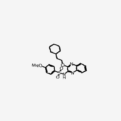 COc1ccc(S(=O)(=O)Nc2nc3ccccc3nc2OCCC2CCCCC2)cc1